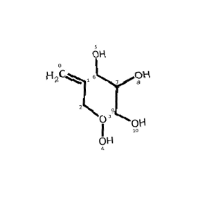 C=CCOO.OCC(O)CO